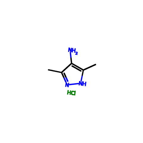 Cc1n[nH]c(C)c1N.Cl